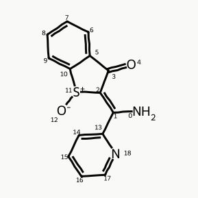 NC(=C1C(=O)c2ccccc2[S+]1[O-])c1ccccn1